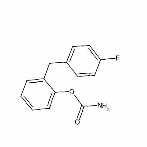 NC(=O)Oc1ccccc1Cc1ccc(F)cc1